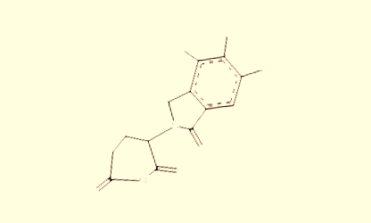 C=C1CCC(N2Cc3c(cc(P)c(C)c3F)C2=O)C(=O)N1